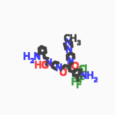 CN1CCN(C2CCN(C(=O)[C@H](CC(=O)N3CCC(N(O)CCc4ccccc4N)CC3)Cc3cc(Cl)c(N)c(C(F)(F)F)c3)CC2)CC1